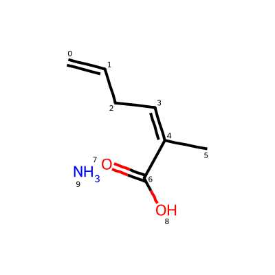 C=CCC=C(C)C(=O)O.N